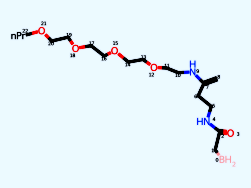 BCC(=O)NCCC(=C)NCCOCCOCCOCCOCCC